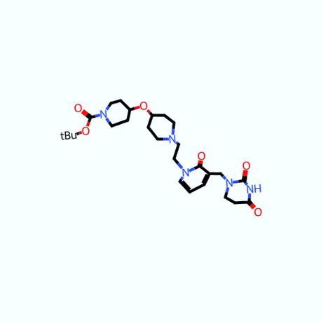 CC(C)(C)OC(=O)N1CCC(OC2CCN(CCn3cccc(CN4CCC(=O)NC4=O)c3=O)CC2)CC1